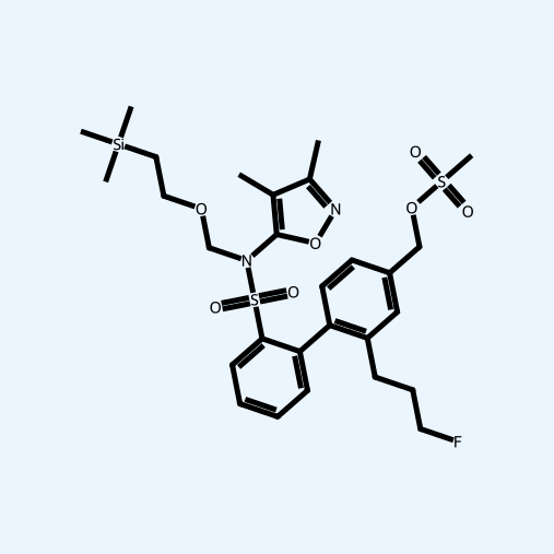 Cc1noc(N(COCC[Si](C)(C)C)S(=O)(=O)c2ccccc2-c2ccc(COS(C)(=O)=O)cc2CCCF)c1C